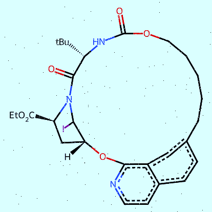 CCOC(=O)[C@@H]1C[C@H]2Oc3nccc4ccc(cc34)CCCCCOC(=O)N[C@@H](C(C)(C)C)C(=O)N1C2I